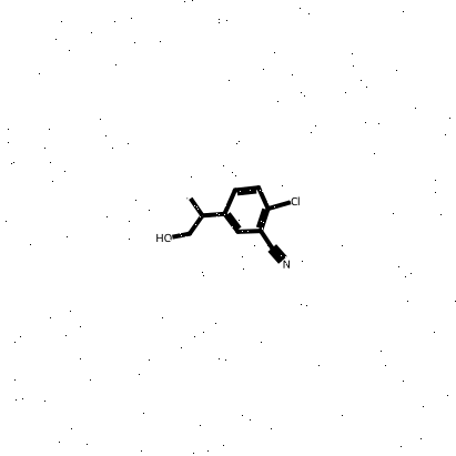 [CH2]C(CO)c1ccc(Cl)c(C#N)c1